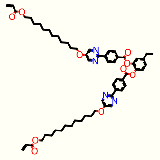 C=CC(=O)OCCCCCCCCCCCCOc1cnc(-c2ccc(C(=O)Oc3ccc(CC)cc3OC(=O)c3ccc(-c4ncc(OCCCCCCCCCCCCOC(=O)C=C)cn4)cc3)cc2)nc1